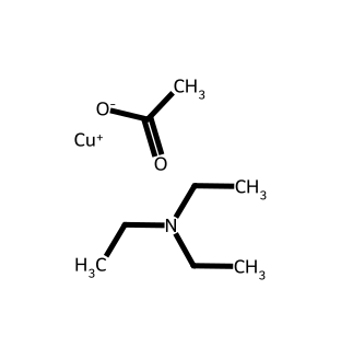 CC(=O)[O-].CCN(CC)CC.[Cu+]